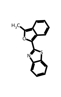 Cc1oc(-c2nc3ccccc3s2)c2ccccc12